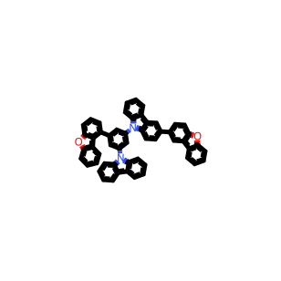 c1ccc2c(c1)oc1ccc(-c3ccc4c(c3)c3ccccc3n4-c3cc(-c4cccc5oc6ccccc6c45)cc(-n4c5ccccc5c5ccccc54)c3)cc12